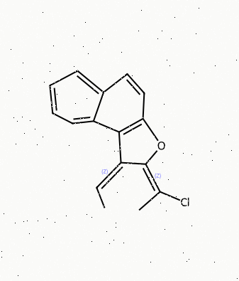 C/C=c1\c(=C(/C)Cl)oc2ccc3ccccc3c12